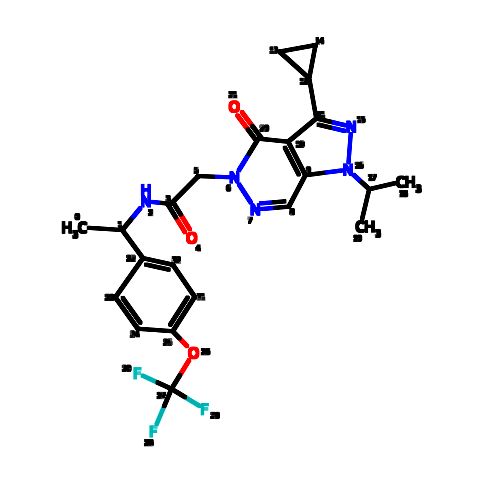 CC(NC(=O)Cn1ncc2c(c(C3CC3)nn2C(C)C)c1=O)c1ccc(OC(F)(F)F)cc1